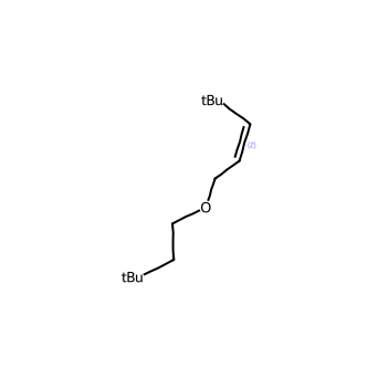 CC(C)(C)/C=C\COCCC(C)(C)C